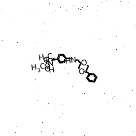 C[C@@H](NS(C)(=O)=O)c1ccc(CNCC2COC(c3ccccc3)CO2)cc1